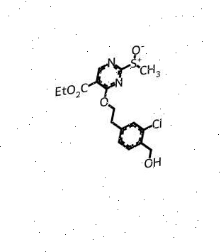 CCOC(=O)c1cnc([S+](C)[O-])nc1OCCc1ccc(CO)c(Cl)c1